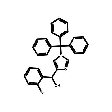 OC(c1cn(C(c2ccccc2)(c2ccccc2)c2ccccc2)cn1)c1ccccc1Br